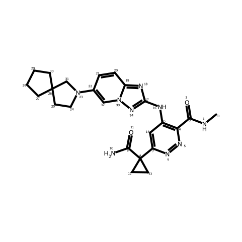 CNC(=O)c1nnc(C2(C(N)=O)CC2)cc1Nc1nc2ccc(N3CCC4(CCCC4)C3)cn2n1